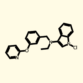 CCN(Cc1cccc(Oc2ccccn2)c1)c1cn(Cl)c2ccccc12